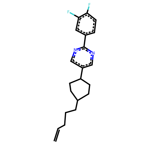 C=CCCCC1CCC(c2cnc(-c3ccc(F)c(F)c3)nc2)CC1